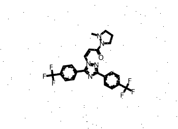 CN1CCCN1C(=O)/C=C\n1nc(-c2ccc(C(F)(F)F)cc2)nc1-c1ccc(C(F)(F)F)cc1